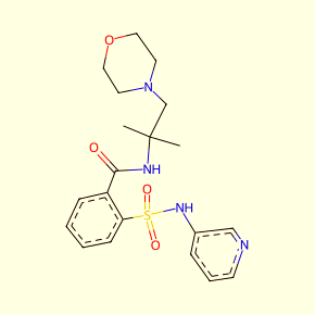 CC(C)(CN1CCOCC1)NC(=O)c1ccccc1S(=O)(=O)Nc1cccnc1